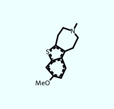 COc1ccc2c3c(sc2c1)CCN(C)CC3